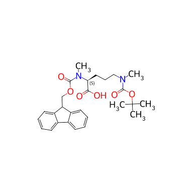 CN(CCC[C@@H](C(=O)O)N(C)C(=O)OCC1c2ccccc2-c2ccccc21)C(=O)OC(C)(C)C